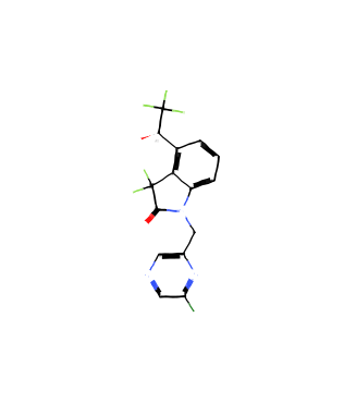 O=C1N(Cc2cncc(Cl)n2)c2cccc([C@@H](O)C(F)(F)F)c2C1(F)F